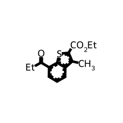 CCOC(=O)c1sc2c(C(=O)CC)cccc2c1C